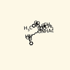 CC(=O)NC1C(OCCCCCCNC(=O)OCc2ccccc2)OC(COS(=O)(=O)c2ccc(C)cc2)C2OC(C)(C)OC12